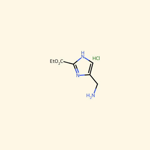 CCOC(=O)c1nc(CN)c[nH]1.Cl